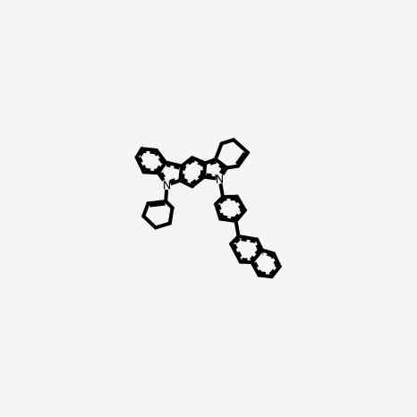 C1=Cc2c(c3cc4c5ccccc5n(C5=CCCCC5)c4cc3n2-c2ccc(-c3ccc4ccccc4c3)cc2)CC1